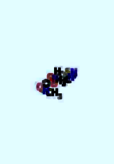 CN1CCOc2ccc(S(=O)(=O)N3C[C@H]4C[C@H](Sc5nccn5C)C[C@H]4C3)cc21